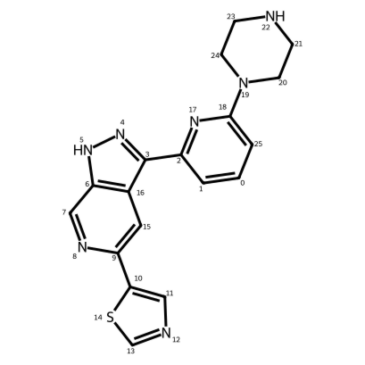 c1cc(-c2n[nH]c3cnc(-c4cncs4)cc23)nc(N2CCNCC2)c1